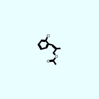 CC(=O)OCC(C)=Cc1ccccc1Cl